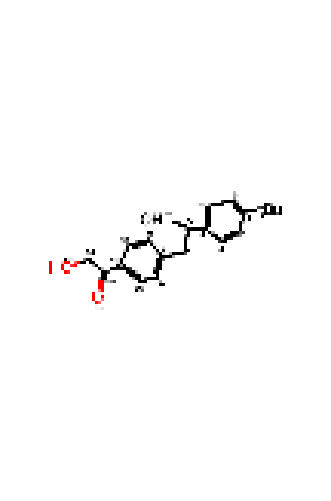 CC(C)(C)c1ccc(C(C=O)Cc2ccc(C(=O)CO)cc2)cc1